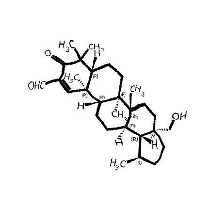 C[C@@H]1CC[C@]2(CO)CC[C@]3(C)[C@H](CC[C@@H]4[C@@]5(C)C=C(C=O)C(=O)C(C)(C)[C@@H]5CC[C@]43C)[C@@H]12